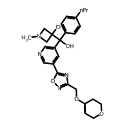 CCCc1ccc(C(O)(c2cncc(-c3nc(COC4CCOCC4)no3)c2)C2(C)CN(C)C2)cc1